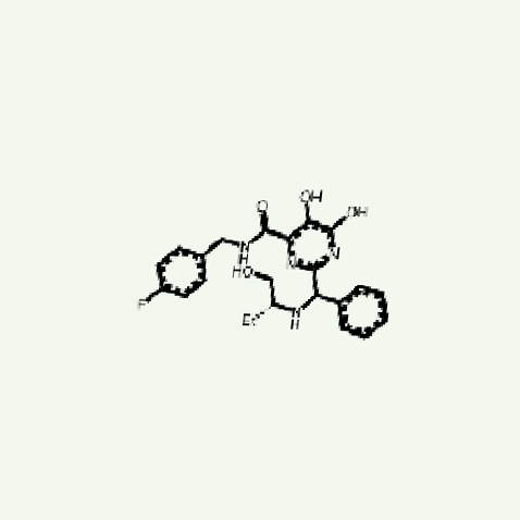 CC[C@H](CO)NC(c1ccccc1)c1nc(O)c(O)c(C(=O)NCc2ccc(F)cc2)n1